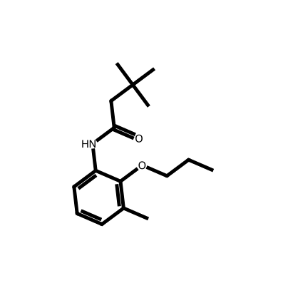 CCCOc1c(C)cccc1NC(=O)CC(C)(C)C